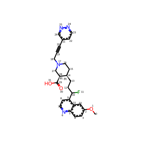 COc1ccc2nccc(C(F)CC[C@@H]3CCN(CC#Cc4ccnnc4)C[C@@H]3C(=O)O)c2c1